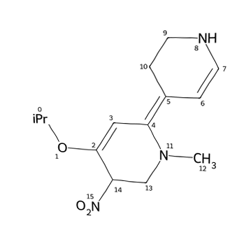 CC(C)OC1=CC(=C2C=CNCC2)N(C)CC1[N+](=O)[O-]